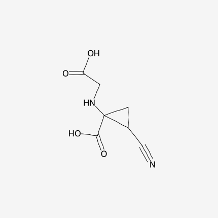 N#CC1CC1(NCC(=O)O)C(=O)O